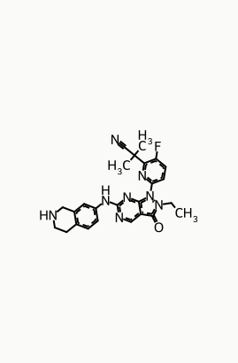 CCn1c(=O)c2cnc(Nc3ccc4c(c3)CNCC4)nc2n1-c1ccc(F)c(C(C)(C)C#N)n1